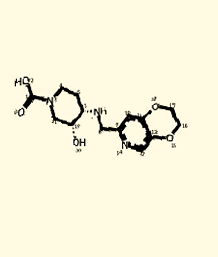 O=C(O)N1CC[C@H](NCc2cc3c(cn2)OCCO3)[C@H](O)C1